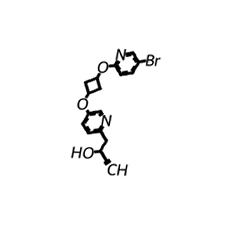 C#CC(O)Cc1ccc(OC2CC(Oc3ccc(Br)cn3)C2)cn1